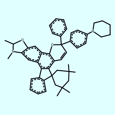 CC1Oc2cc3c4c(c5c(c3cc2N1C)-c1ccccc1C51CC(C)(C)CC(C)(C)C1)C=CC(c1ccccc1)(c1ccc(N2CCCCC2)cc1)O4